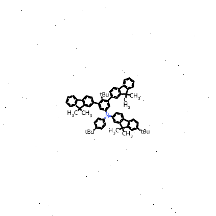 CC(C)(C)c1ccc(N(c2cc(-c3ccc4c(c3)C(C)(C)c3ccccc3-4)c(C(C)(C)C)c(-c3ccc4c(c3)C(C)(C)c3ccccc3-4)c2)c2ccc3c(c2)C(C)(C)c2cc(C(C)(C)C)ccc2-3)cc1